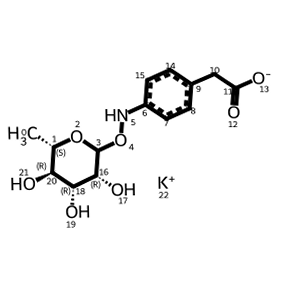 C[C@@H]1OC(ONc2ccc(CC(=O)[O-])cc2)[C@H](O)[C@H](O)[C@H]1O.[K+]